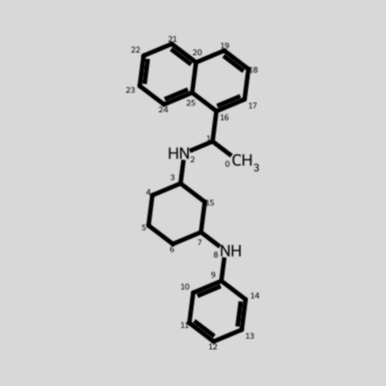 CC(NC1CCCC(Nc2ccccc2)C1)c1cccc2ccccc12